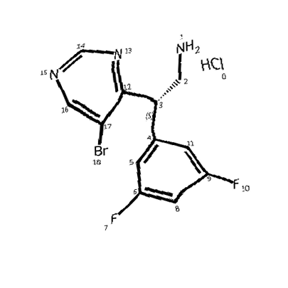 Cl.NC[C@H](c1cc(F)cc(F)c1)c1ncncc1Br